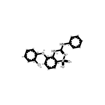 O=S1(=O)N=C(Nc2ccccc2)Nc2c(Oc3ccccc3Cl)cccc21